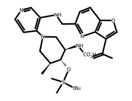 C=C(C)c1coc2ccc(CNc3cnccc3N3C[C@H](C)[C@@H](O[Si](C)(C)C(C)(C)C)[C@H](NC(=O)O)C3)nc12